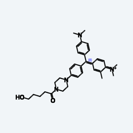 CC1=C/C(=C(/c2ccc(N(C)C)cc2)c2ccc(N3CCN(C(=O)CCCCO)CC3)cc2)C=CC1=[N+](C)C